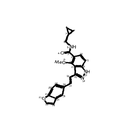 COc1c(C(=O)NCC2CC2)ccc2[nH]nc(/C=C/c3ccc4occc4c3)c12